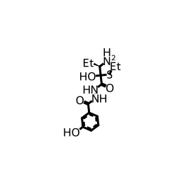 CCSC(O)(C(=O)NNC(=O)c1cccc(O)c1)[C@H](N)CC